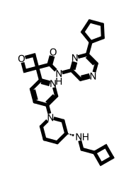 O=C(Nc1cncc(C2CCCC2)n1)C1(c2ccc(N3CCC[C@@H](NCC4CCC4)C3)cn2)COC1